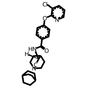 C1CC2CCC1CC2.O=C(N[C@H]1CN2CCC1CC2)c1ccc(Oc2ncccc2Cl)cc1